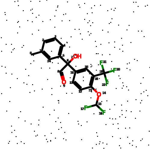 Cc1cccc(C(O)(C=O)c2ccc(OC(F)F)c(C(F)(F)F)c2)c1